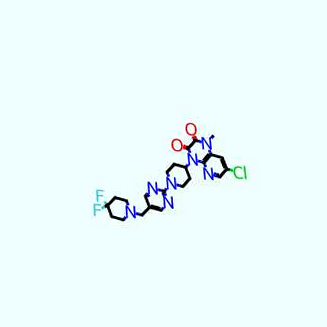 Cn1c(=O)c(=O)n(C2CCN(c3ncc(CN4CCC(F)(F)CC4)cn3)CC2)c2ncc(Cl)cc21